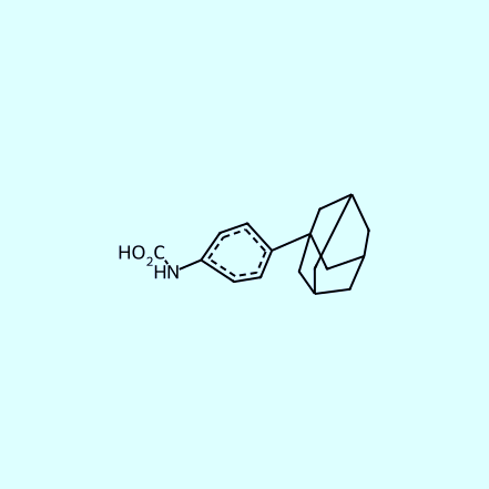 O=C(O)Nc1ccc(C23CC4CC(CC(C4)C2)C3)cc1